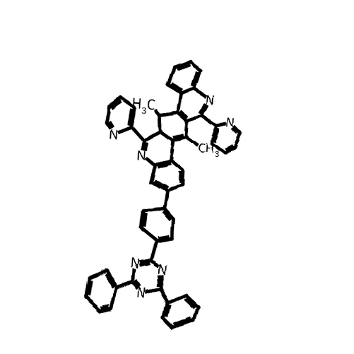 CC1=C2c3ccc(-c4ccc(-c5nc(-c6ccccc6)nc(-c6ccccc6)n5)cc4)cc3N=C(c3ccccn3)C2C(C)c2c1c(-c1ccccn1)nc1ccccc21